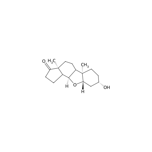 C[C@]12CCC3[C@@H](O[C@H]4C[C@@H](O)CC[C@]34C)C1CCC2=O